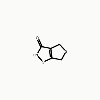 O=c1[nH]sc2c1CSC2